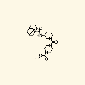 CCOC(=O)N1CCN(C(=O)N2CCC[C@H](NC(=O)C34CC5CC(C3)C(O)C(C5)C4)C2)CC1